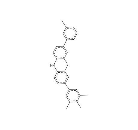 Cc1cccc(-c2ccc3c(c2)Cc2cc(-c4cc(C)c(C)c(C)c4)ccc2N3)c1